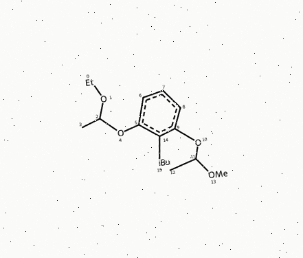 CCOC(C)Oc1cccc(OC(C)OC)c1C(C)CC